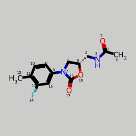 CC(=O)NC[C@H]1CN(c2ccc(C)c(F)c2)C(=O)O1